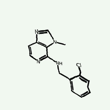 Cn1cnc2ccnc(NCc3ccccc3Cl)c21